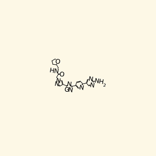 Nc1ncc(-c2ccc(-c3noc(-c4cnn(CC(=O)NCC5CCCO5)c4)n3)cn2)cn1